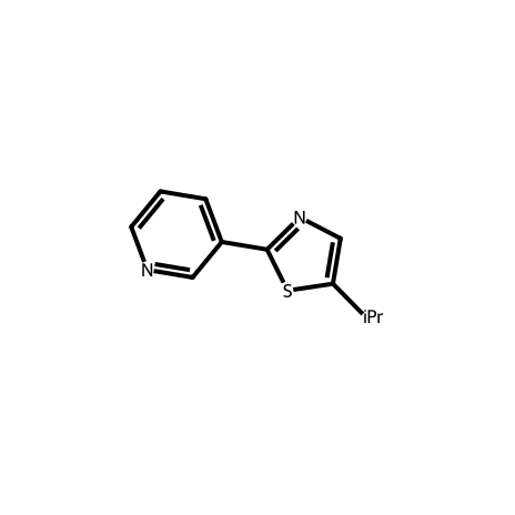 CC(C)c1cnc(-c2cccnc2)s1